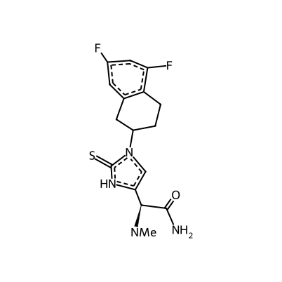 CN[C@H](C(N)=O)c1cn(C2CCc3c(F)cc(F)cc3C2)c(=S)[nH]1